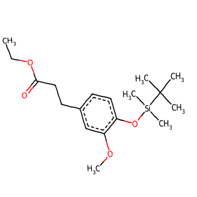 CCOC(=O)CCc1ccc(O[Si](C)(C)C(C)(C)C)c(OC)c1